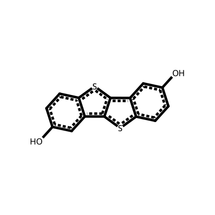 Oc1ccc2sc3c4cc(O)ccc4sc3c2c1